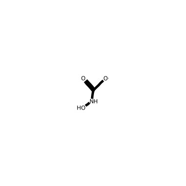 [O]C(=O)NO